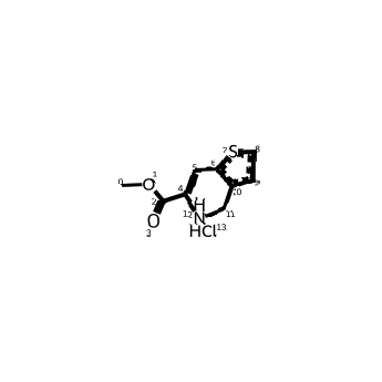 COC(=O)C1=Cc2sccc2CN1.Cl